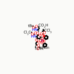 CCCCCCCCCCC[C@H](CC(=O)O[C@@H]1[C@@H](NC(=O)OCC(Cl)(Cl)Cl)[C@@H](OC[C@H](CCC(=O)O)NC(=O)OC(C)(C)C)O[C@H](COC(=O)OC(C)(C)C(Cl)(Cl)Cl)[C@H]1OP(=O)(Oc1ccccc1)Oc1ccccc1)OC(=O)CCCCCCCCC